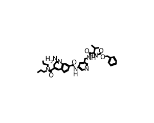 CCCN(CCC)C(=O)C1=Cc2ccc(C(=O)Nc3cncc(CNC(=O)C(NC(=O)OCc4ccccc4)C(C)C)c3)cc2N=C(N)C1